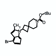 Cc1cc2c(Br)cccc2n1C1CC2(CCN(C(=O)OC(C)(C)C)CC2)C1